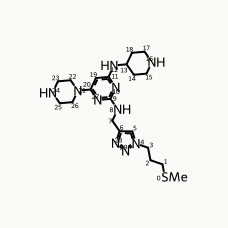 CSCCCn1cc(CNc2nc(NC3CCNCC3)cc(N3CCNCC3)n2)nn1